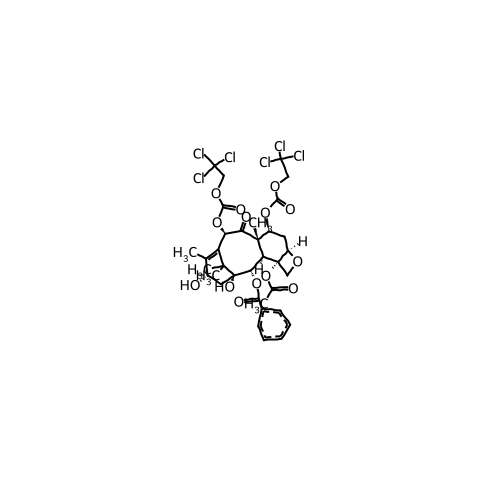 CC(=O)O[C@@]12CO[C@@H]1C[C@H](OC(=O)OCC(Cl)(Cl)Cl)[C@@]1(C)C(=O)[C@H](OC(=O)OCC(Cl)(Cl)Cl)C3=C(C)[C@@H](O)C[C@@](O)([C@@H](OC(=O)c4ccccc4)[C@H]21)C3(C)C